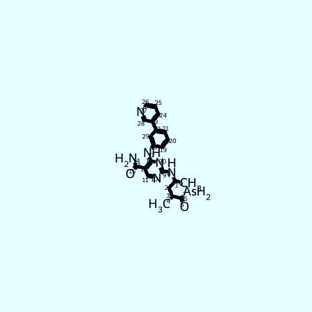 CC(CC(C)C(=O)[AsH2])Nc1ncc(C(N)=O)c(Nc2cccc(-c3cccnc3)c2)n1